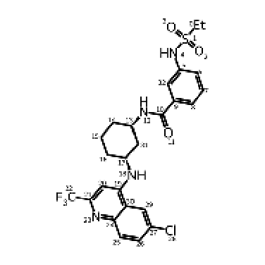 CCS(=O)(=O)Nc1cccc(C(=O)N[C@@H]2CCC[C@H](Nc3cc(C(F)(F)F)nc4ccc(Cl)cc34)C2)c1